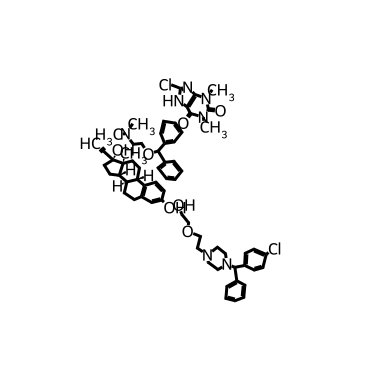 C#C[C@]1(O)CC[C@H]2[C@@H]3CCc4cc(O)ccc4[C@H]3CC[C@@]21C.CN(C)CCOC(c1ccccc1)c1ccccc1.Cn1c(=O)c2[nH]c(Cl)nc2n(C)c1=O.OCCOCCN1CCN(C(c2ccccc2)c2ccc(Cl)cc2)CC1